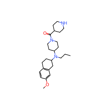 CCCN(C1CCN(C(=O)C2CCNCC2)CC1)C1CCc2ccc(OC)cc2C1